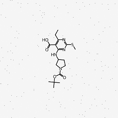 CCc1nc(SC)nc(NC2CCN(C(=O)OC(C)(C)C)C2)c1C(=O)O